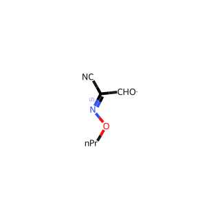 CCCO/N=C(\[C]=O)C#N